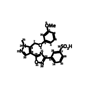 COc1cccc(OCc2c(-c3nc(-c4cccc(S(=O)(=O)O)c4)no3)cnn2C)c1